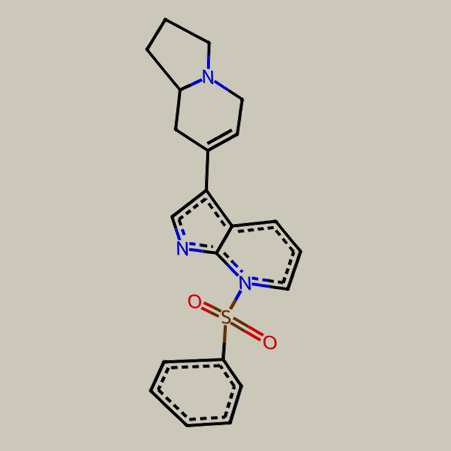 O=S(=O)(c1ccccc1)n1cccc2c(C3=CCN4CCCC4C3)cnc1-2